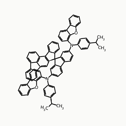 CC(C)c1ccc(N(c2ccc3c(c2)C2(c4cc(N(c5ccc(C(C)C)cc5)c5cccc6c5oc5ccccc56)ccc4-3)c3ccccc3-c3c2cc2c4c(cccc34)-c3ccccc3-2)c2cccc3c2oc2ccccc23)cc1